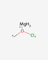 COCl.[MgH2]